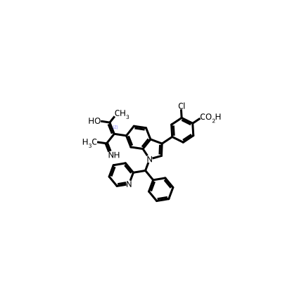 CC(=N)/C(=C(/C)O)c1ccc2c(-c3ccc(C(=O)O)c(Cl)c3)cn(C(c3ccccc3)c3ccccn3)c2c1